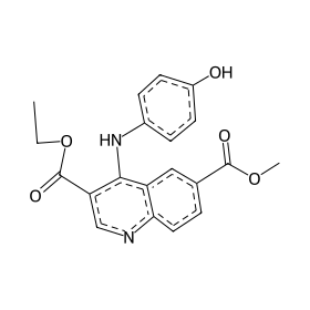 CCOC(=O)c1cnc2ccc(C(=O)OC)cc2c1Nc1ccc(O)cc1